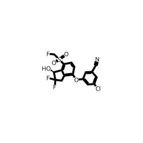 N#Cc1cc(Cl)cc(Oc2ccc(S(=O)(=O)CF)c3c2CC(F)(F)[C@H]3O)c1